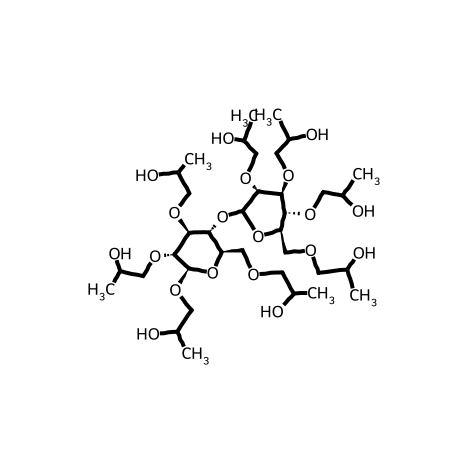 CC(O)COC[C@H]1O[C@@H](OCC(C)O)[C@H](OCC(C)O)[C@@H](OCC(C)O)[C@@H]1OC1O[C@H](COCC(C)O)[C@@H](OCC(C)O)[C@H](OCC(C)O)[C@H]1OCC(C)O